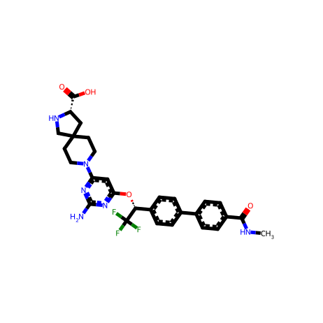 CNC(=O)c1ccc(-c2ccc([C@@H](Oc3cc(N4CCC5(CC4)CN[C@H](C(=O)O)C5)nc(N)n3)C(F)(F)F)cc2)cc1